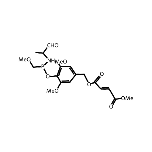 COCP(NC(C)C=O)Oc1c(OC)cc(COC(=O)/C=C/C(=O)OC)cc1OC